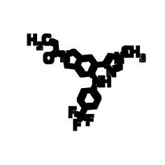 C=CC(=O)N1Cc2cc(Nc3ccc(C(F)(F)F)cc3)c(-c3cn(C)cn3)cc2C1